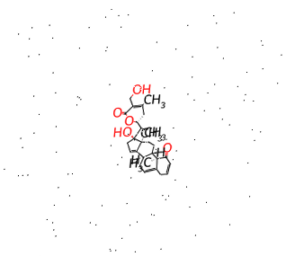 CC1=C(CO)C(=O)O[C@@H]([C@@H](C)[C@@]2(O)CC=C3[C@@H]4CC=C5CC=CC(=O)[C@]5(C)[C@H]4CC[C@@]32C)C1